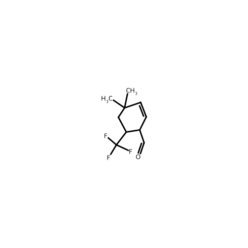 CC1(C)C=CC(C=O)C(C(F)(F)F)C1